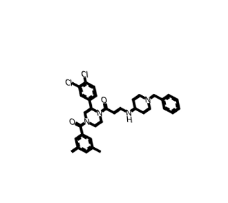 Cc1cc(C)cc(C(=O)N2CCN(C(=O)CCNC3CCN(Cc4ccccc4)CC3)C(c3ccc(Cl)c(Cl)c3)C2)c1